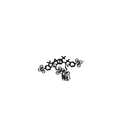 CC1(C)C(=C2CC23C(Cl)=C2CC(C(C)(C)C)C3C=C2C2=[N+](CCS(=O)(=O)[O-])c3ccc(S(=O)(=O)[O-])cc3C2(C)C)N(CCS(=O)(=O)[O-])c2ccc(S(=O)(=O)[O-])cc21.[Na+].[Na+].[Na+]